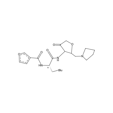 CC(C)(C)C[C@H](NC(=O)c1ccoc1)C(=O)NC1C(=O)COC1CN1CCCC1